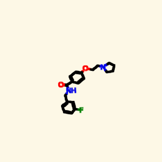 O=C(NCc1cccc(F)c1)c1ccc(OCCN2CCCC2)cc1